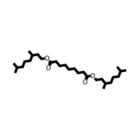 CC(C)CCCC(C)CCOC(=O)CCCCCCCC(=O)OCCC(C)CCCC(C)C